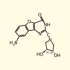 Bc1ccc2oc3c(=O)[nH]c(CN4C[C@H](O)[C@@H](O)C4)nc3c2c1